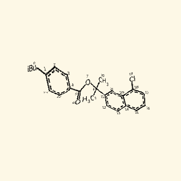 CCC(C)c1ccc(C(=O)OC(C)(C)c2ccc3cccc(Cl)c3c2)cc1